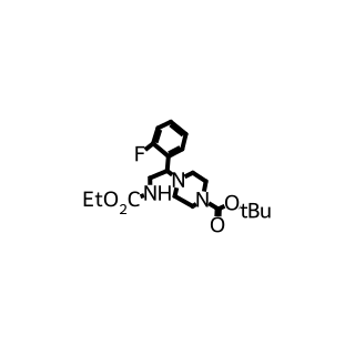 CCOC(=O)NCC(c1ccccc1F)N1CCN(C(=O)OC(C)(C)C)CC1